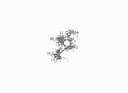 CC[C@H]1OC(=O)[C@H](C)[C@@H](CO[C@H]2C[C@@](C)(OC)[C@@H](O)[C@H](C)O2)[C@H](C)[C@@H](O[C@@H]2O[C@H](C)C[C@H](N(C)C)[C@H]2O)[C@](C)(O)C[C@@H](C)CN(C(=O)CCCCCC[PH](c2cc(C)cc(C)c2)(c2cc(C)cc(C)c2)c2cnn(C(C)C)c2)[C@H](C)[C@@H](O)[C@]1(C)O